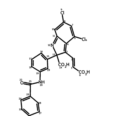 O=C(O)/C=C/C1=c2c(Cl)cc(Cl)cc2=NC1(C(=O)O)c1cccc(NC(=O)c2ccccc2)c1